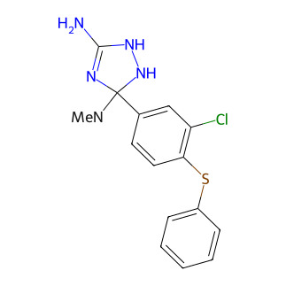 CNC1(c2ccc(Sc3ccccc3)c(Cl)c2)N=C(N)NN1